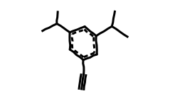 C#Cc1cc(C(C)C)cc(C(C)C)c1